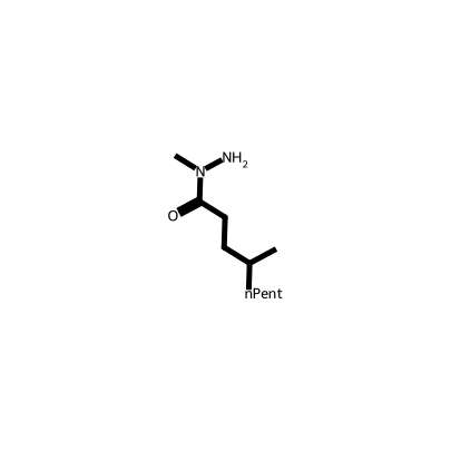 CCCCCC(C)CCC(=O)N(C)N